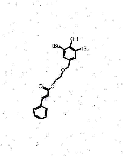 CC(C)(C)c1cc(COCCOC(=O)/C=C/c2ccccc2)cc(C(C)(C)C)c1O